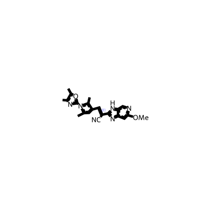 COc1cc2nc(/C(C#N)=C/c3cc(C)n(-c4nc(C)c(C)o4)c3C)[nH]c2cn1